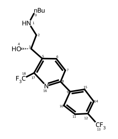 CCCCNC[C@@H](O)c1ccc(-c2ccc(C(F)(F)F)cc2)nc1C(F)(F)F